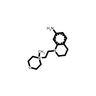 C[N+]1(CCN2CCCc3ccc(N)cc32)CCOCC1